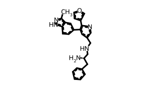 Cc1n[nH]c2ccc(-c3cc(CNC[C@H](N)Cc4ccccc4)cnc3-c3ccoc3)cc12